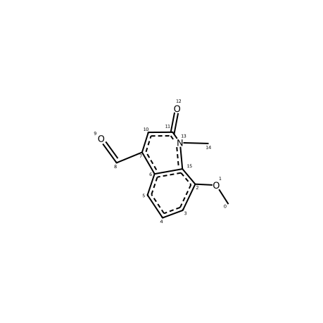 COc1cccc2c(C=O)cc(=O)n(C)c12